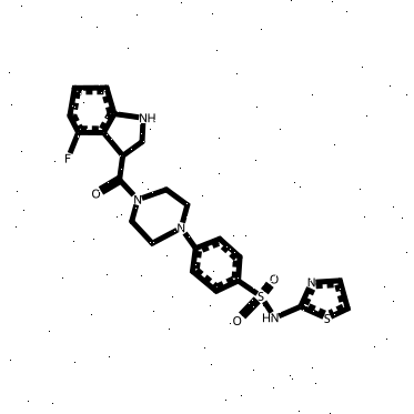 O=C(C1CNc2cccc(F)c21)N1CCN(c2ccc(S(=O)(=O)Nc3nccs3)cc2)CC1